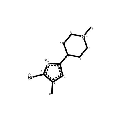 Cc1cc(C2CCN(C)CC2)sc1Br